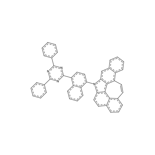 C1=Cc2c3ccccc3cc3c2c2c4c1cccc4ccc2n3-c1ccc(-c2nc(-c3ccccc3)nc(-c3ccccc3)n2)c2ccccc12